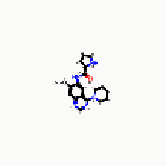 COc1cc2ncnc(N3CCCCC3)c2cc1NC(=O)C1CCCN1